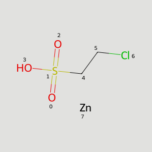 O=S(=O)(O)CCCl.[Zn]